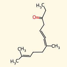 CCC(=O)CC=C=C(C)CCC=C(C)C